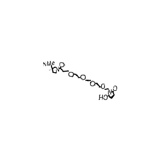 CNC[C@]1(C)CCN(C(=O)CCOCCOCCOCCOCCN2C(=O)C=CC2O)C1